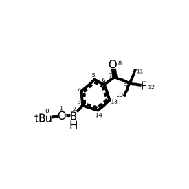 CC(C)(C)OBc1ccc(C(=O)C(C)(C)F)cc1